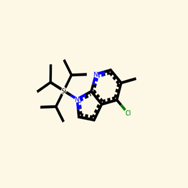 Cc1cnc2c(ccn2[Si](C(C)C)(C(C)C)C(C)C)c1Cl